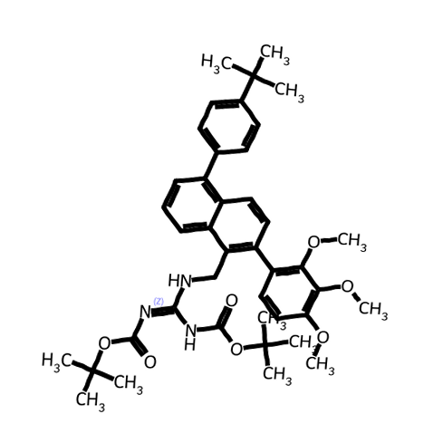 COc1ccc(-c2ccc3c(-c4ccc(C(C)(C)C)cc4)cccc3c2CN/C(=N/C(=O)OC(C)(C)C)NC(=O)OC(C)(C)C)c(OC)c1OC